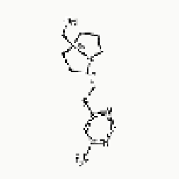 OC[C@@]12CCCN1[C@H](CSc1cc(C(F)(F)F)ncn1)CC2